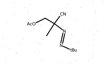 CC(=O)OCC(C)(C#N)/N=N/C(C)(C)C